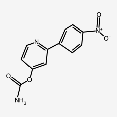 NC(=O)Oc1ccnc(-c2ccc([N+](=O)[O-])cc2)c1